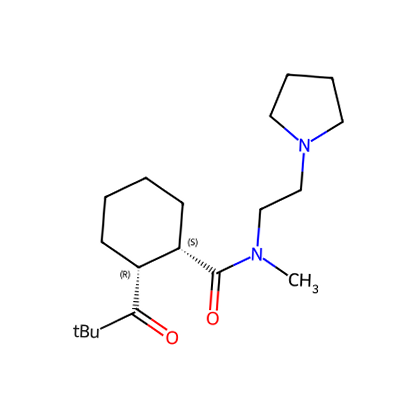 CN(CCN1CCCC1)C(=O)[C@H]1CCCC[C@H]1C(=O)C(C)(C)C